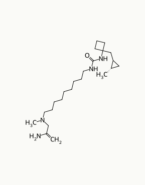 C=C(N)CN(C)CCCCCCCCCNC(=O)NC1(CC2C[C@@H]2C)CCC1